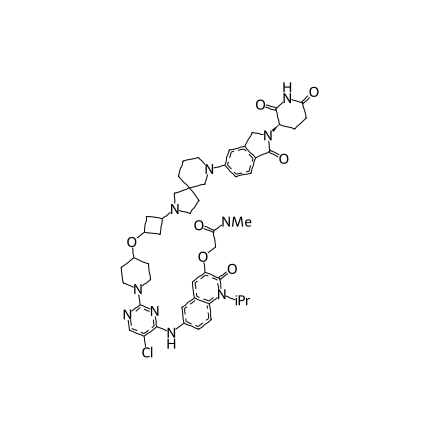 CNC(=O)COc1cc2cc(Nc3nc(N4CCC(OC5CC(N6CCC7(CCCN(c8ccc9c(c8)CN([C@@H]8CCC(=O)NC8=O)C9=O)C7)C6)C5)CC4)ncc3Cl)ccc2n(C(C)C)c1=O